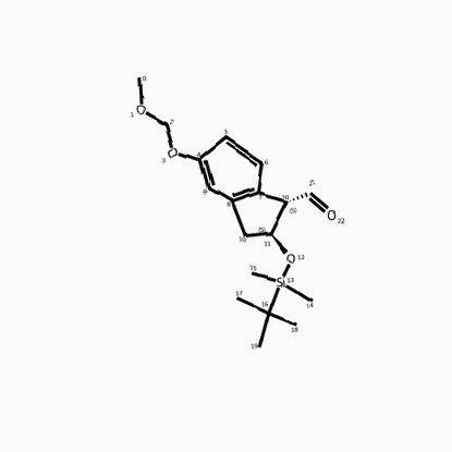 COCOc1ccc2c(c1)C[C@H](O[Si](C)(C)C(C)(C)C)[C@H]2C=O